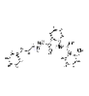 O=C(Nc1ccccc1C(=O)N/N=C/CCc1ccccc1)c1ccccc1Cl